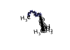 CC/C=C\C/C=C\C/C=C\C/C=C\C/C=C\CCCC(=O)OCOC(=O)CC(O)C[N+](C)(C)C